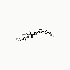 C[C](C)CC(OC1CC(OC(F)(F)F)C1)C(=O)NC12CC(n3cnc(C4CC(OC(F)(F)F)C4)c3)(C1)C2